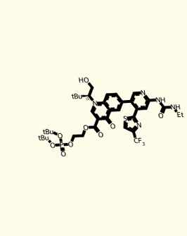 CCNC(=O)Nc1cc(-c2nc(C(F)(F)F)cs2)c(-c2ccc3c(c2)c(=O)c(C(=O)OCCOP(=O)(OC(C)(C)C)OC(C)(C)C)cn3[C@H](CO)C(C)(C)C)cn1